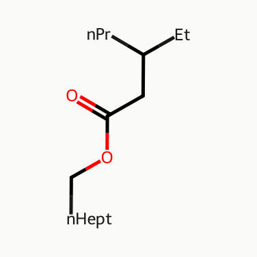 CCCCCCCCOC(=O)CC(CC)CCC